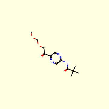 COCOCC(=O)c1cnc(NC(=O)C(C)(C)C)cn1